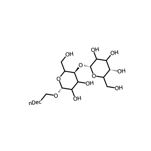 CCCCCCCCCCCO[C@@H]1OC(CO)[C@@H](O[C@H]2OC(CO)[C@@H](O)C(O)C2O)C(O)C1O